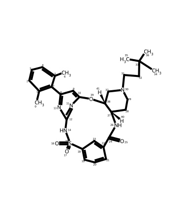 Cc1cccc(C)c1-c1cc2nc(n1)NS(=O)(=O)c1cccc(c1)C(=O)N[C@H]1CCN(CCC(C)(C)C)C[C@H]1O2